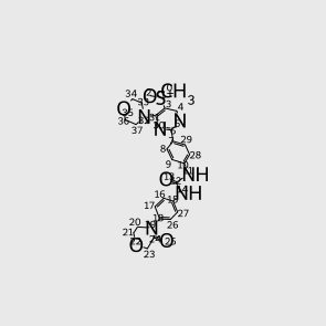 C[S+]([O-])c1cnc(-c2ccc(NC(=O)Nc3ccc(N4CCOCC4=O)cc3)cc2)nc1N1CCOCC1